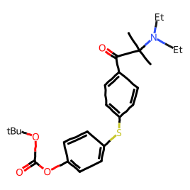 CCN(CC)C(C)(C)C(=O)c1ccc(Sc2ccc(OC(=O)OC(C)(C)C)cc2)cc1